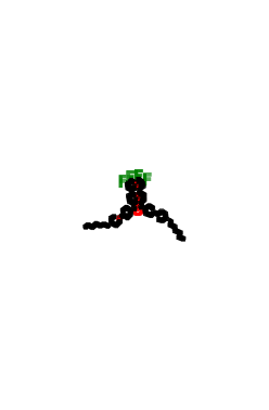 CCCCCCC[C@H]1CC[C@H]([C@H]2CC[C@H](C(OC(c3ccc(-c4ccc(F)c(F)c4)cc3)[C@H]3CC[C@H]([C@H]4CC[C@H](CCCCCCC)CC4)CC3)c3ccc(-c4ccc(F)c(F)c4)cc3)CC2)CC1